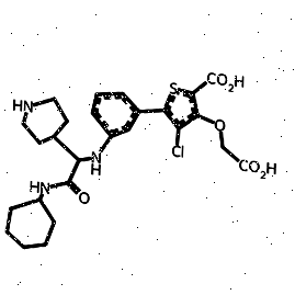 O=C(O)COc1c(C(=O)O)sc(-c2cccc(NC(C(=O)NC3CCCCC3)C3CCNCC3)c2)c1Cl